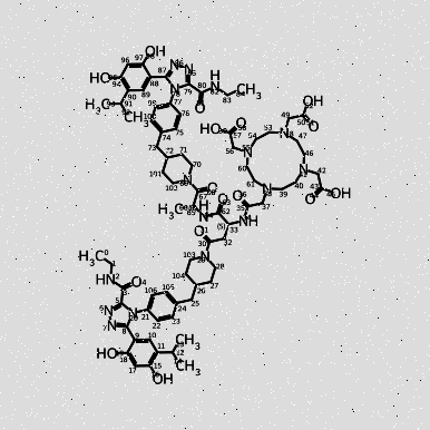 CCNC(=O)c1nnc(-c2cc(C(C)C)c(O)cc2O)n1-c1ccc(CC2CCN(C(=O)C[C@H](NC(=O)CN3CCN(CC(=O)O)CCN(CC(=O)O)CCN(CC(=O)O)CC3)C(=O)N[C@H](C)C(=O)N3CCC(Cc4ccc(-n5c(C(=O)NCC)nnc5-c5cc(C(C)C)c(O)cc5O)cc4)CC3)CC2)cc1